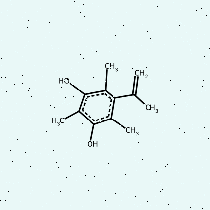 C=C(C)c1c(C)c(O)c(C)c(O)c1C